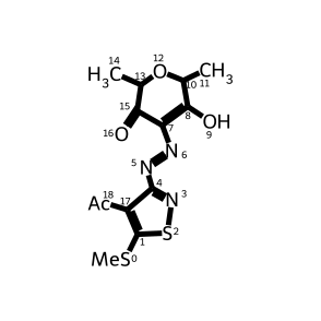 CSc1snc(N=NC2=C(O)C(C)OC(C)C2=O)c1C(C)=O